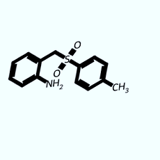 Cc1ccc(S(=O)(=O)Cc2ccccc2N)cc1